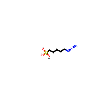 [N-]=[N+]=NCCCCCS(=O)(=O)O